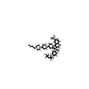 CCCCN1CCN(C2CCN(C3CCN(c4c(S(=O)(=O)c5ccc(OC(C)(C)CC(C)(C)C)cc5)cnc5ccc([S+](C)[O-])cc45)CC3)CC2)CC1